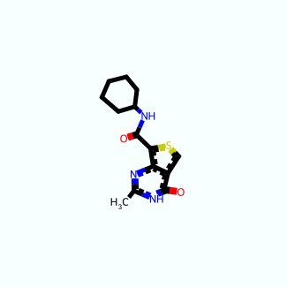 Cc1nc2c(C(=O)NC3CCCCC3)scc2c(=O)[nH]1